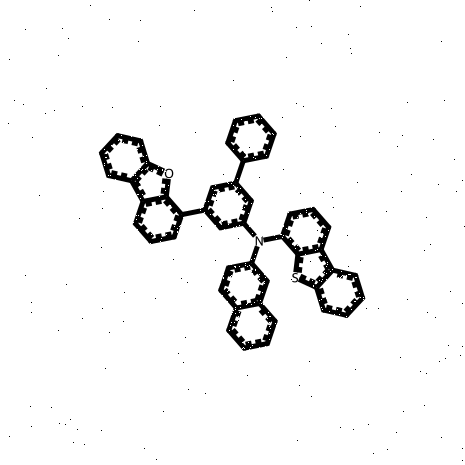 c1ccc(-c2cc(-c3cccc4c3oc3ccccc34)cc(N(c3ccc4ccccc4c3)c3cccc4c3sc3ccccc34)c2)cc1